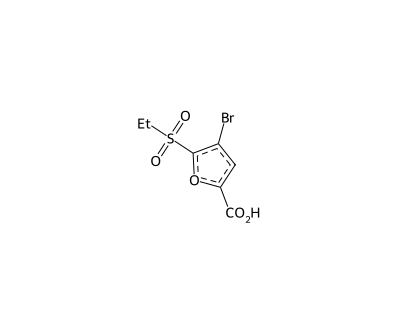 CCS(=O)(=O)c1oc(C(=O)O)cc1Br